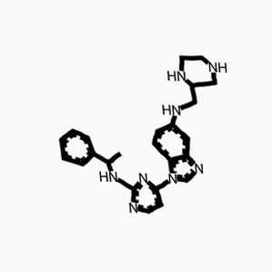 CC(Nc1nccc(-n2cnc3cc(NCC4CNCCN4)ccc32)n1)c1ccccc1